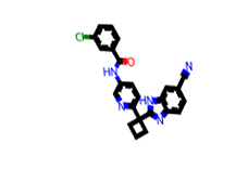 N#Cc1ccc2nc(C3(c4ccc(NC(=O)c5cccc(Cl)c5)cn4)CCC3)[nH]c2c1